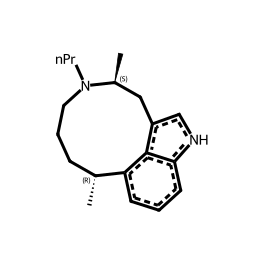 CCCN1CCC[C@@H](C)c2cccc3[nH]cc(c23)C[C@@H]1C